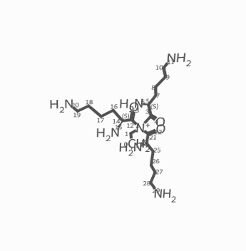 [CH2]C[N+](C(=O)[C@@H](N)CCCCN)(C(=O)[C@@H](N)CCCCN)C(=O)[C@@H](N)CCCCN